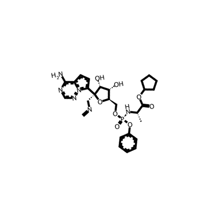 C=NC[C@@]1(c2ccc3c(N)ncnn23)O[C@H](CO[P@@](=O)(N[C@@H](C)C(=O)OC2CCCC2)Oc2ccccc2)[C@@H](O)[C@H]1O